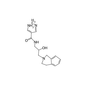 C/N=C\C(=C/N)C(=O)NCC(O)CN1CCc2ccccc2C1